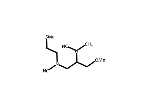 COCC(CN(C#N)CCSC)N(C)C#N